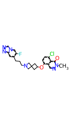 Cn1ncc2c(OC3CC4(C3)CN(CCCc3cc5nncn5cc3F)C4)ccc(Cl)c2c1=O